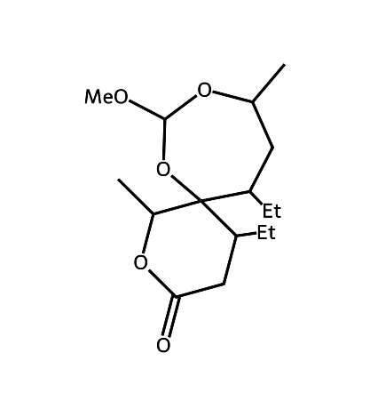 CCC1CC(=O)OC(C)C12OC(OC)OC(C)CC2CC